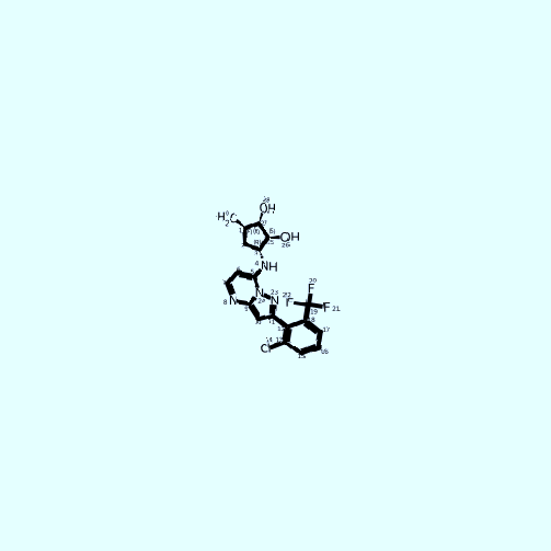 [CH2][C@@H]1C[C@@H](Nc2ccnc3cc(-c4c(Cl)cccc4C(F)(F)F)nn23)[C@H](O)[C@@H]1O